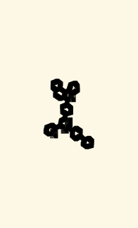 c1ccc(-c2ccc(-c3nc(-c4ccc(-c5nc6ccccc6c6c5ccc5ccccc56)cc4)cc(-c4ccccn4)n3)cc2)cc1